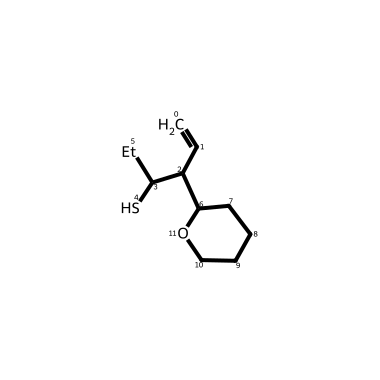 C=CC(C(S)CC)C1CCCCO1